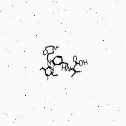 C/C=C(\C=C(\C)C(=O)CC)c1nc2cc(CNC(C(=O)O)C(C)C)ccc2n1CC1CN(C)CCO1